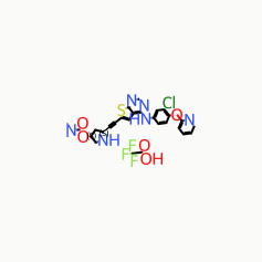 CN(C)C(=O)O[C@@H]1CN[C@H](C#Cc2cc3c(Nc4ccc(Oc5ccccn5)c(Cl)c4)ncnc3s2)C1.O=C(O)C(F)(F)F